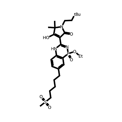 CCOP1(=O)N=C(C2=C(O)C(C)(C)N(CCC(C)(C)C)C2=O)Nc2ccc(CCCCCS(C)(=O)=O)cc21